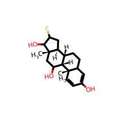 C[C@]12C=CC(O)=CC1CC[C@@H]1[C@H]2C(O)C[C@]2(C)C(O)C(F)C[C@@H]12